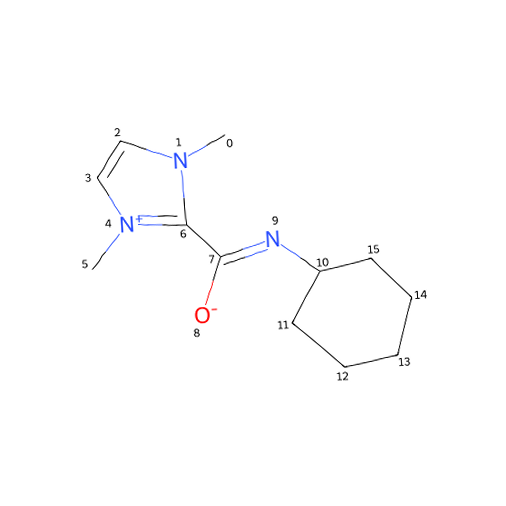 Cn1cc[n+](C)c1/C([O-])=N/C1CCCCC1